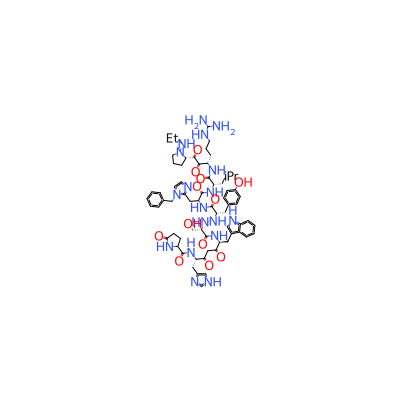 CCNN1CCC[C@H]1C(=O)C(=O)[C@H](CCCNC(N)N)NC(=O)[C@H](CC(C)C)NC(=O)C(Cc1nccn1Cc1ccccc1)NC(=O)[C@H](Cc1ccc(O)cc1)NN[C@@H](CO)C(=O)N[C@@H](Cc1c[nH]c2ccccc12)C(=O)CC(=O)[C@H](Cc1c[nH]cn1)NC(=O)C1CCC(=O)N1